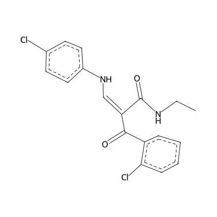 CCNC(=O)/C(=C\Nc1ccc(Cl)cc1)C(=O)c1ccccc1Cl